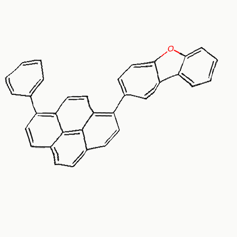 c1ccc(-c2ccc3ccc4ccc(-c5ccc6oc7ccccc7c6c5)c5ccc2c3c45)cc1